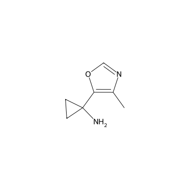 Cc1ncoc1C1(N)CC1